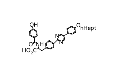 CCCCCCCOc1ccc(-c2cnc(-c3ccc(CC(NC(=O)c4ccc(O)cc4)C(=O)O)cc3)nc2)cc1